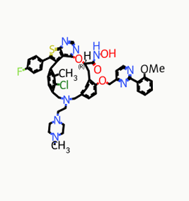 COc1ccccc1-c1nccc(COc2ccc3cc2C[C@H](C(=O)NO)Oc2ncnc4sc(-c5ccc(F)cc5)c(c24)-c2ccc(c(Cl)c2C)CN(CCN2CCN(C)CC2)C3)n1